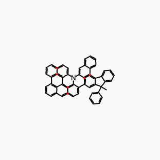 CC1(c2ccccc2)c2ccccc2-c2ccc(-c3ccccc3N(c3ccc4ccccc4c3)c3ccccc3-c3cccc4cccc(-c5ccccc5)c34)cc21